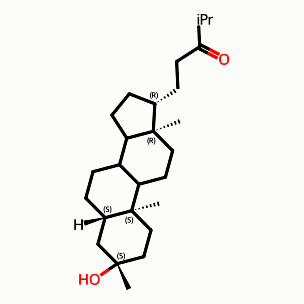 CC(C)C(=O)CC[C@H]1CCC2C3CC[C@H]4C[C@@](C)(O)CC[C@]4(C)C3CC[C@@]21C